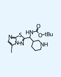 CC(C)(C)OC(=O)NC(c1nn2c(I)cnc2s1)C1CCCNC1